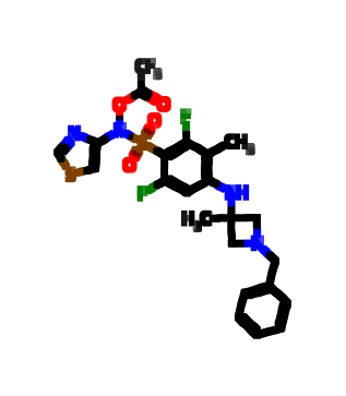 Cc1c(NC2(C)CN(Cc3ccccc3)C2)cc(F)c(S(=O)(=O)N(OC(=O)C(F)(F)F)c2cscn2)c1F